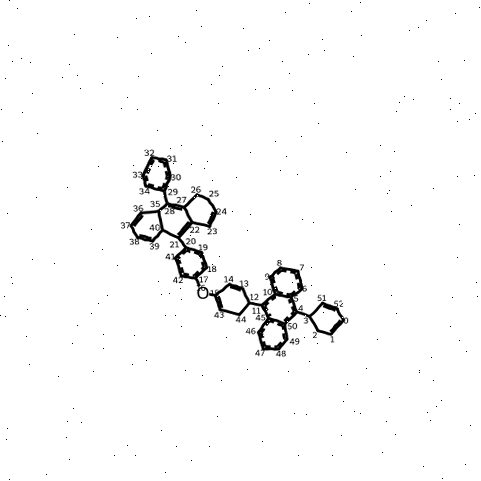 C1=CCC(c2c3ccccc3c(C3C=CC(Oc4ccc(C5=C6C=CCCC6=C(c6ccccc6)C6C=CC=CC56)cc4)=CC3)c3ccccc23)C=C1